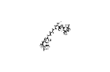 CC[C@@H](CCCCCCCC(=O)OC1CC(C)(C)NC(C)(C)C1)C(=O)OC1CC(C)(C)NC(C)(C)C1